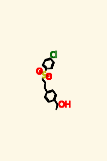 CC(O)c1ccc(CCCS(=O)(=O)c2ccc(Cl)cc2)cc1